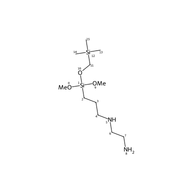 CO[Si](CCCNCCN)(OC)OC[Si](C)(C)C